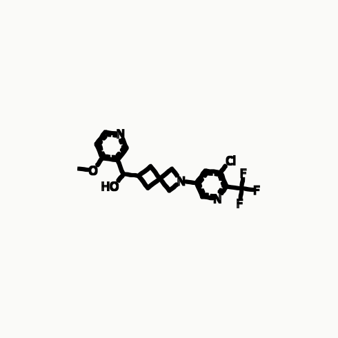 COc1ccncc1C(O)C1CC2(C1)CN(c1cnc(C(F)(F)F)c(Cl)c1)C2